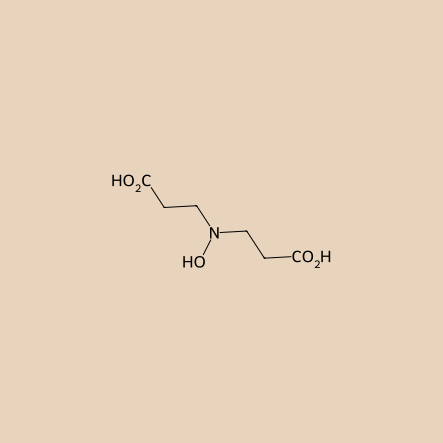 O=C(O)CCN(O)CCC(=O)O